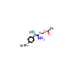 Br.COc1ccc(/N=C(\N)SCOC(=O)C(C)C)cc1